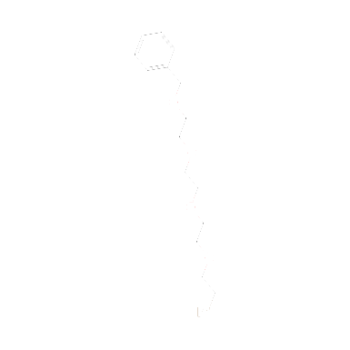 BrCCOCCOCCOCCOCc1ccccc1